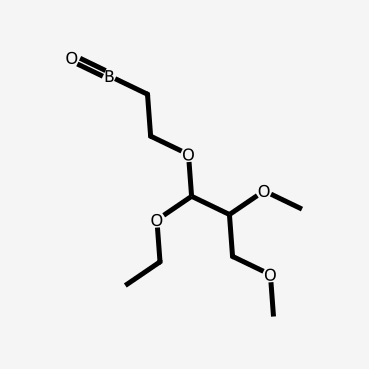 CCOC(OCCB=O)C(COC)OC